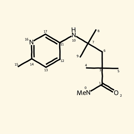 CNC(=O)C(C)(C)CC(C)(C)Nc1ccc(C)nc1